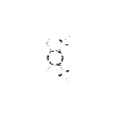 Cc1cc(CO)c(S(N)(=O)=O)cc1S(N)(=O)=O